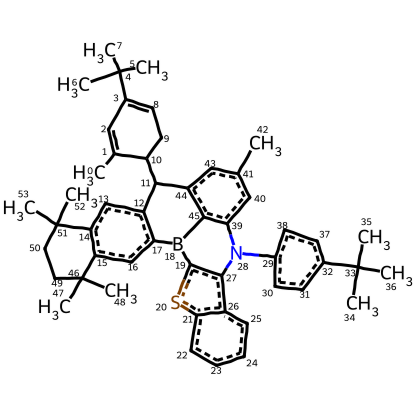 CC1=CC(C(C)(C)C)=CCC1C1c2cc3c(cc2B2c4sc5ccccc5c4N(c4ccc(C(C)(C)C)cc4)c4cc(C)cc1c42)C(C)(C)CCC3(C)C